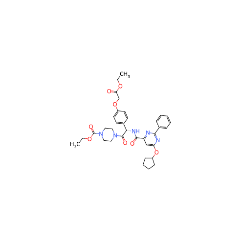 CCOC(=O)COc1ccc([C@H](NC(=O)c2cc(OC3CCCC3)nc(-c3ccccc3)n2)C(=O)N2CCN(C(=O)OCC)CC2)cc1